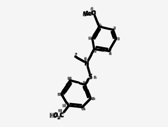 COc1cccc(N(C)Sc2ccc(C(=O)O)cc2)c1